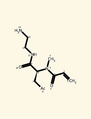 C=CC(=O)N(C)[C@@H](CC(C)=O)C(=O)NCCN